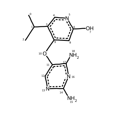 CC(C)c1cnc(O)cc1Oc1cnc(N)nc1N